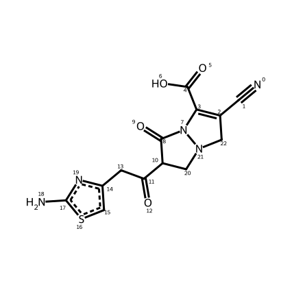 N#CC1=C(C(=O)O)N2C(=O)C(C(=O)Cc3csc(N)n3)CN2C1